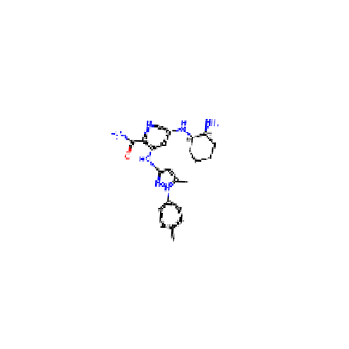 Cc1ccc(-n2nc(Nc3cc(N[C@@H]4CCCC[C@@H]4N)cnc3C(N)=O)cc2C)cc1